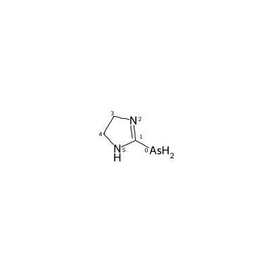 [AsH2]C1=NCCN1